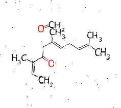 C=O.CC=C(C)C(=O)CC(C)=CCC=C(C)C